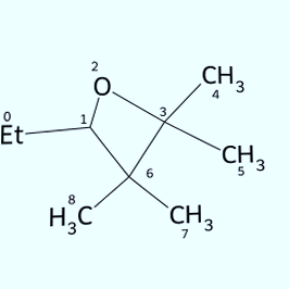 CCC1OC(C)(C)C1(C)C